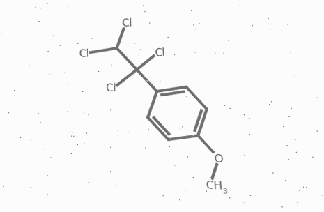 COc1ccc(C(Cl)(Cl)C(Cl)Cl)cc1